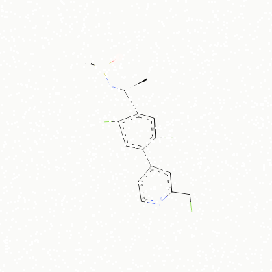 C[C@H](N[S@+]([O-])C(C)(C)C)c1cc(F)c(-c2ccnc(CF)c2)cc1F